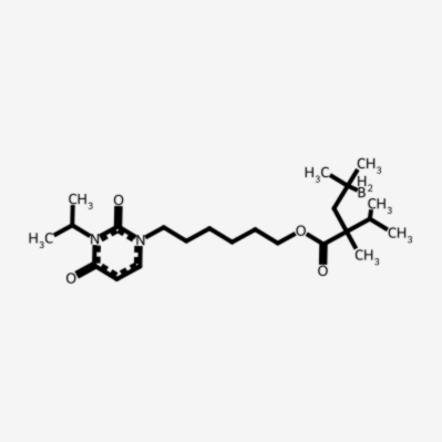 BC(C)(C)CC(C)(C(=O)OCCCCCCn1ccc(=O)n(C(C)C)c1=O)C(C)C